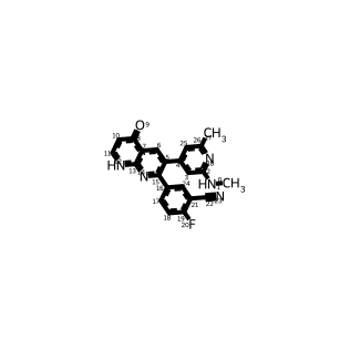 CNc1cc(-c2cc3c(=O)cc[nH]c3nc2-c2ccc(F)c(C#N)c2)cc(C)n1